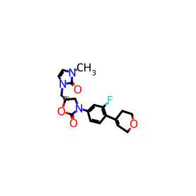 Cn1ccn(C[C@H]2CN(c3ccc(C4=CCOCC4)c(F)c3)C(=O)O2)c1=O